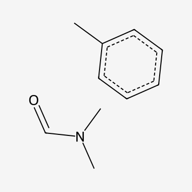 CN(C)C=O.Cc1ccccc1